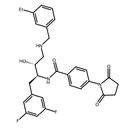 CCc1cccc(CNC[C@@H](O)[C@H](Cc2cc(F)cc(F)c2)NC(=O)c2ccc(N3C(=O)CCC3=O)cc2)c1